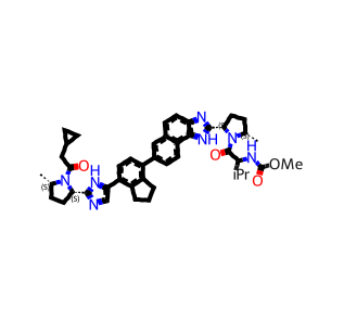 COC(=O)NC(C(=O)N1[C@@H](C)CC[C@H]1c1nc2ccc3cc(-c4ccc(-c5cnc([C@@H]6CC[C@H](C)N6C(=O)CC6CC6)[nH]5)c5c4CCC5)ccc3c2[nH]1)C(C)C